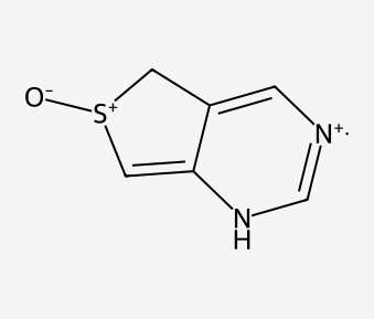 [O-][S+]1C=C2NC=[N+]C=C2C1